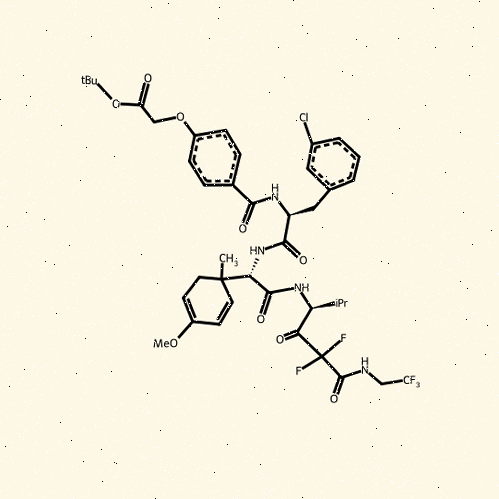 COC1=CCC(C)([C@H](NC(=O)[C@H](Cc2cccc(Cl)c2)NC(=O)c2ccc(OCC(=O)OC(C)(C)C)cc2)C(=O)N[C@H](C(=O)C(F)(F)C(=O)NCC(F)(F)F)C(C)C)C=C1